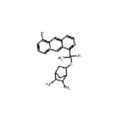 CC1C2CC(OC(C)(C)c3cccc4cc5c(Br)cccc5cc34)C(C2)C1C